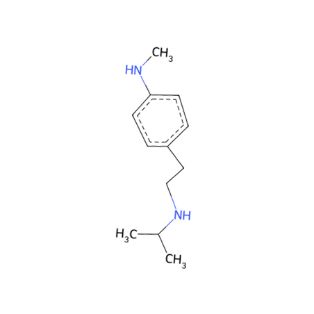 CNc1ccc(CCNC(C)C)cc1